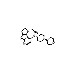 N#CC[C@H]1CCc2sc3nccc(O[C@H]4CC[C@H](N5CCOCC5)CC4)c3c21